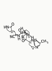 Cc1cncc(N[C@H](CC2CC2)C(=O)N2[C@H]3CC[C@@H]([C@@H]2C(=O)N[C@@H](C#N)C[C@H]2CCNC2=O)C(F)(F)C3)c1